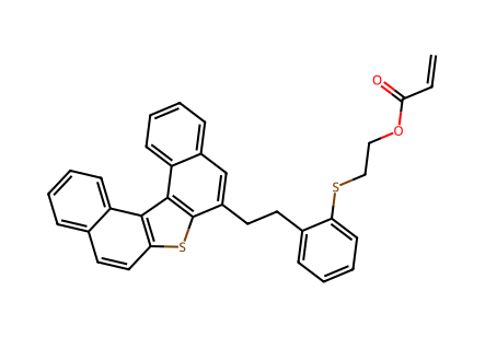 C=CC(=O)OCCSc1ccccc1CCc1cc2ccccc2c2c1sc1ccc3ccccc3c12